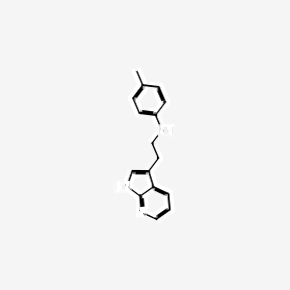 Cc1ccc(NCCc2c[nH]c3ncccc23)cc1